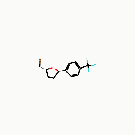 FC(F)(F)c1ccc([C@H]2CC[C@H](CBr)O2)cc1